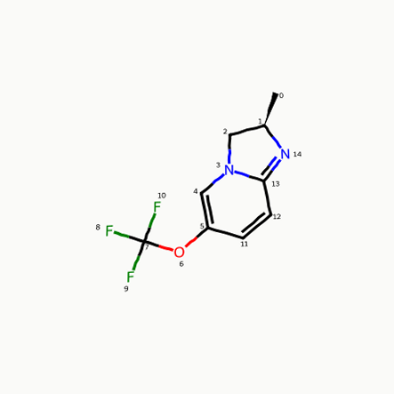 C[C@@H]1CN2C=C(OC(F)(F)F)C=CC2=N1